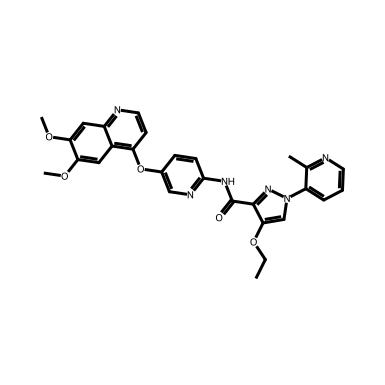 CCOc1cn(-c2cccnc2C)nc1C(=O)Nc1ccc(Oc2ccnc3cc(OC)c(OC)cc23)cn1